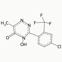 Cc1nnc(-c2ccc(Cl)cc2C(F)(F)F)n(O)c1=O